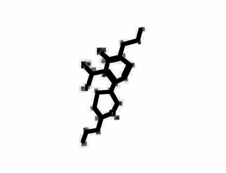 CCCc1ccc(C2CCC(CCC)OC2)c(C(F)F)c1F